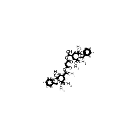 CC(OC(=O)CC(=O)OC(C)C1CC(C)(C)N(Cc2ccccc2)C(C)(C)C1)C1CC(C)(C)N(Cc2ccccc2)C(C)(C)C1